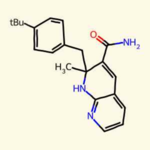 CC1(Cc2ccc(C(C)(C)C)cc2)Nc2ncccc2C=C1C(N)=O